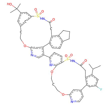 CC(C)c1cc(F)cc2c1CC(=O)NS(=O)(=O)c1ccc(-c3cnc4cc3-c3ccc5c(c3CC(=O)NS(=O)(=O)c3cc(cc(C(C)(C)O)c3)CCO4)CCC5)nc1OCCCOc1cc-2ccn1